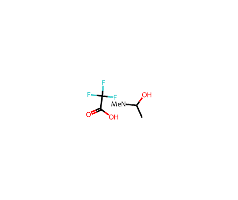 CNC(C)O.O=C(O)C(F)(F)F